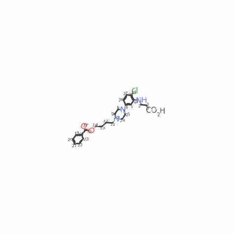 O=C(O)CCNc1cc(N2CCN(CCCCOC(=O)c3ccccc3)CC2)ccc1Cl